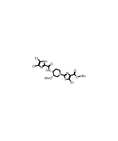 CCCCOC(=O)c1nc(N2CC[C@@H](NC(=O)c3nc(Cl)c(CC)[nH]3)[C@@H](OC)C2)sc1CC